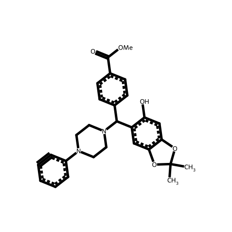 COC(=O)c1ccc(C(c2cc3c(cc2O)OC(C)(C)O3)N2CCN(c3c#cccc3)CC2)cc1